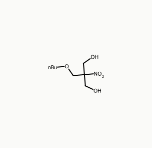 CCCCOCC(CO)(CO)[N+](=O)[O-]